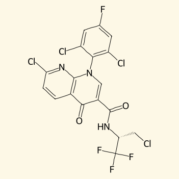 O=C(N[C@H](CCl)C(F)(F)F)c1cn(-c2c(Cl)cc(F)cc2Cl)c2nc(Cl)ccc2c1=O